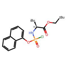 CCC(C)[C@H](NP(=O)(Cl)Oc1cccc2ccccc12)C(=O)OCC(C)(C)C